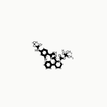 COC(=O)Nc1ccc(-c2c[nH]c(C3C(c4ccccc4)CCCN3C(=O)OC(C)(C)C)n2)c(Br)c1